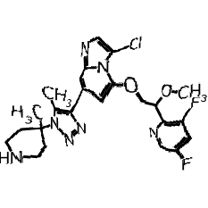 COC(COc1cc(-c2nnn(C3(C)CCNCC3)c2C)cc2ncc(Cl)n12)c1ncc(F)cc1F